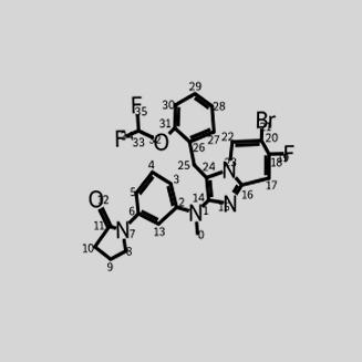 CN(c1cccc(N2CCCC2=O)c1)c1nc2cc(F)c(Br)cn2c1Cc1ccccc1OC(F)F